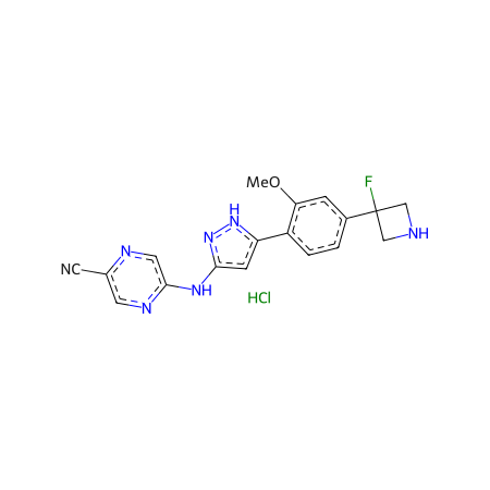 COc1cc(C2(F)CNC2)ccc1-c1cc(Nc2cnc(C#N)cn2)n[nH]1.Cl